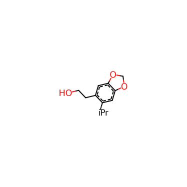 CC(C)c1cc2c(cc1CCO)OCO2